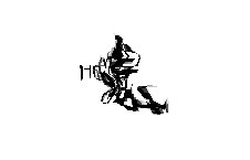 Cc1ncsc1-c1ccc(CNC(=O)[C@@H]2C[C@H](O)CN2C(=O)C(NC(=O)C2(C#N)CC2)C(C)(C)C)cc1